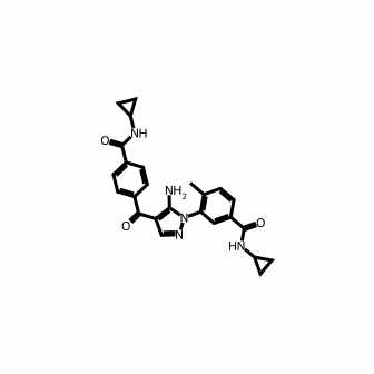 Cc1ccc(C(=O)NC2CC2)cc1-n1ncc(C(=O)c2ccc(C(=O)NC3CC3)cc2)c1N